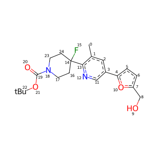 Cc1cc(-c2ccc(CO)o2)cnc1C1(F)CCN(C(=O)OC(C)(C)C)CC1